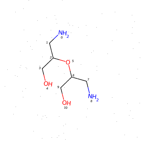 NCC(CO)OC(CN)CO